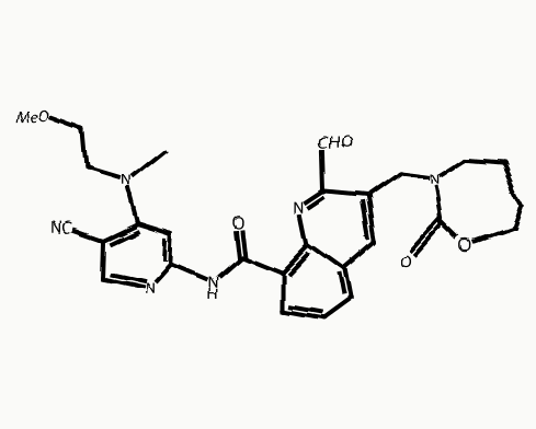 COCCN(C)c1cc(NC(=O)c2cccc3cc(CN4CCCCOC4=O)c(C=O)nc23)ncc1C#N